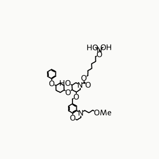 COCCCN1CCOc2ccc(COC3CN(C(=O)OCCCCCCON(O)O)CC(O)C3OC3CCC(Oc4ccccc4)CC3)cc21